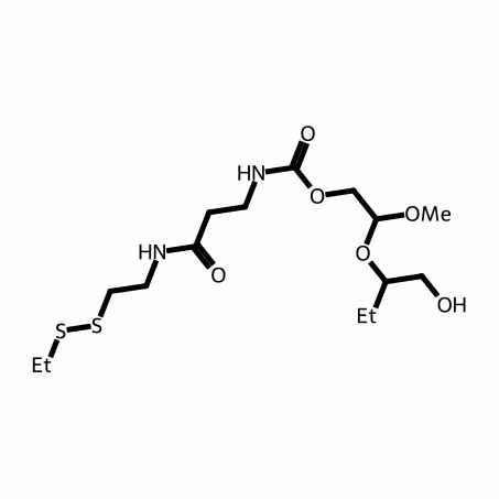 CCSSCCNC(=O)CCNC(=O)OCC(OC)OC(CC)CO